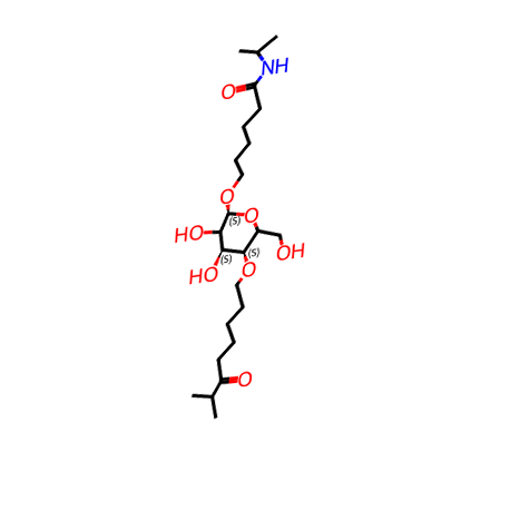 CC(C)NC(=O)CCCCCO[C@H]1OC(CO)[C@@H](OCCCCCC(=O)C(C)C)[C@@H](O)C1O